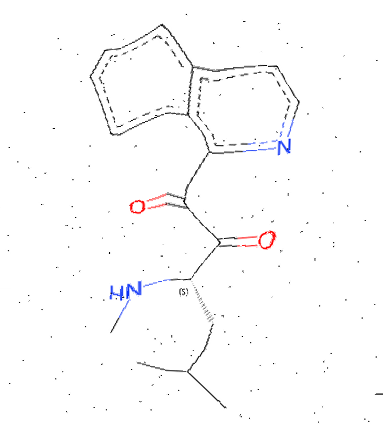 CN[C@@H](CC(C)C)C(=O)C(=O)c1nccc2ccccc12